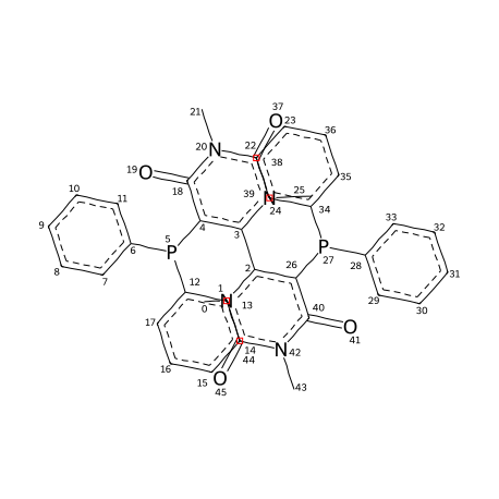 Cn1c(-c2c(P(c3ccccc3)c3ccccc3)c(=O)n(C)c(=O)n2C)c(P(c2ccccc2)c2ccccc2)c(=O)n(C)c1=O